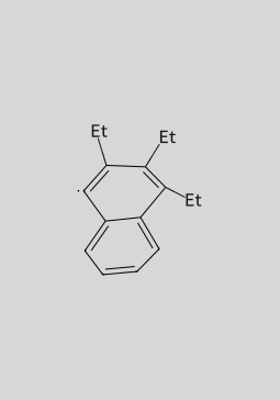 CCc1[c]c2ccccc2c(CC)c1CC